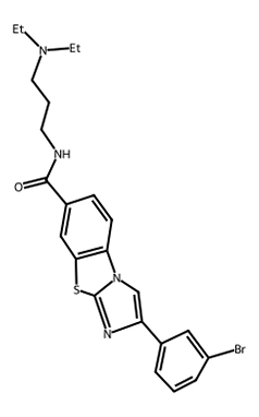 CCN(CC)CCCNC(=O)c1ccc2c(c1)sc1nc(-c3cccc(Br)c3)cn12